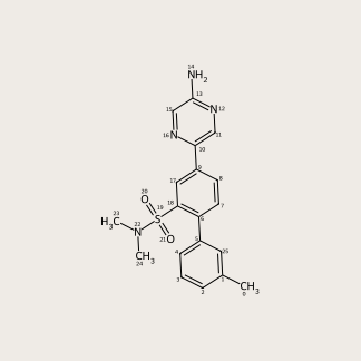 Cc1cccc(-c2ccc(-c3cnc(N)cn3)cc2S(=O)(=O)N(C)C)c1